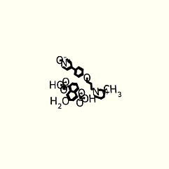 C[C@H]1CCCN(CCCOc2ccc(-c3cc[n+]([O-])cc3)cc2)C1.O.O=S(=O)(O)c1cccc2c(S(=O)(=O)O)cccc12